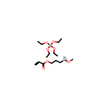 C=CC(=O)OCCC[SiH2]OC.CCO[Si](OCC)(OCC)OCC